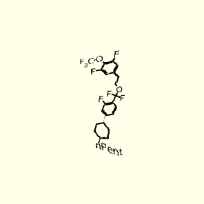 CCCCC[C@H]1CC[C@H](c2ccc(C(F)(F)OCCc3cc(F)c(OC(F)(F)F)c(F)c3)c(F)c2)CC1